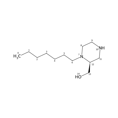 CCCCCCCN1CCNC[C@H]1CO